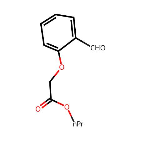 CCCOC(=O)COc1ccccc1C=O